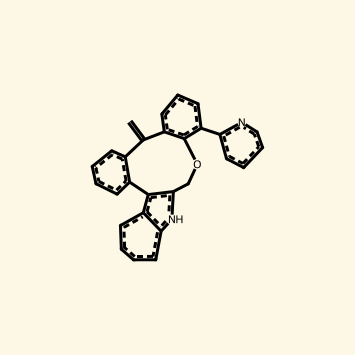 C=C1c2ccccc2-c2c([nH]c3ccccc23)COc2c1cccc2-c1ccccn1